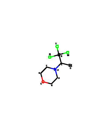 CCC(N1CCOCC1)[Si](Cl)(Cl)Cl